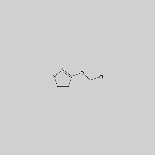 ClCOC1=N[N]C=C1